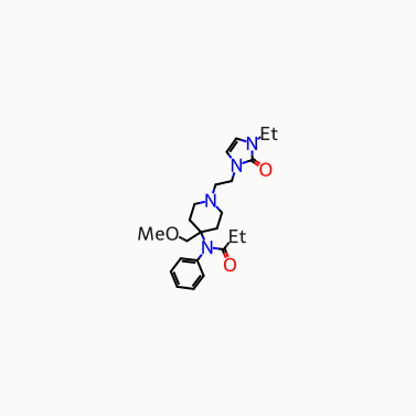 CCC(=O)N(c1ccccc1)C1(COC)CCN(CCn2ccn(CC)c2=O)CC1